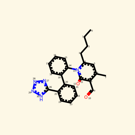 CCCCc1cc(C)c(C=O)c(=O)n1-c1ccccc1-c1ccccc1-c1nnn[nH]1